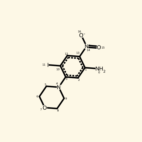 Nc1cc(N2CCOCC2)c(I)cc1[N+](=O)[O-]